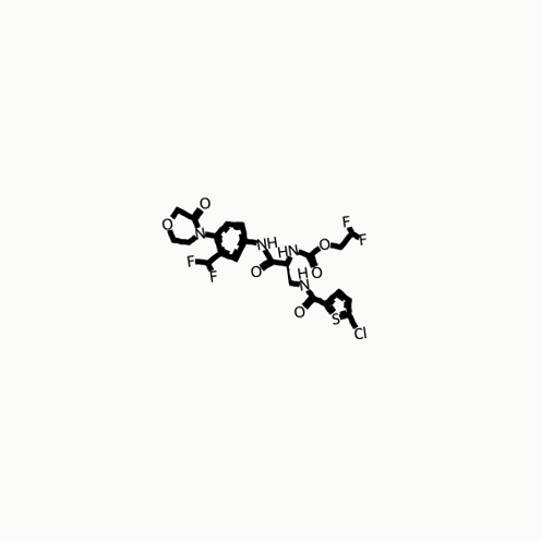 O=C(N[C@@H](CNC(=O)c1ccc(Cl)s1)C(=O)Nc1ccc(N2CCOCC2=O)c(C(F)F)c1)OCC(F)F